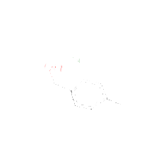 Cc1ccc(CO)c([18F])c1